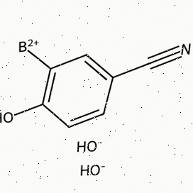 [B+2]c1cc(C#N)ccc1O.[OH-].[OH-]